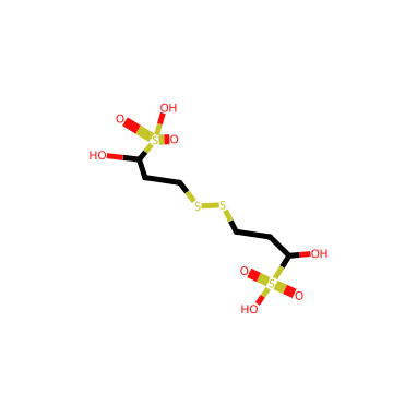 O=S(=O)(O)C(O)CCSSCCC(O)S(=O)(=O)O